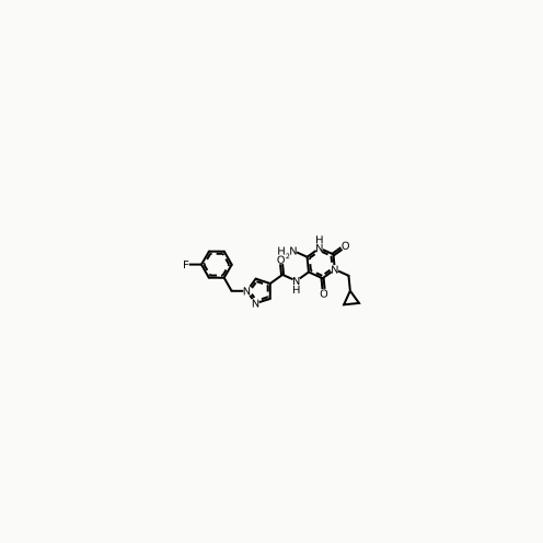 Nc1[nH]c(=O)n(CC2CC2)c(=O)c1NC(=O)c1cnn(Cc2cccc(F)c2)c1